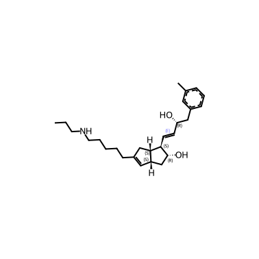 CCCNCCCCCC1=C[C@H]2C[C@@H](O)[C@H](/C=C/[C@H](O)Cc3cccc(C)c3)[C@H]2C1